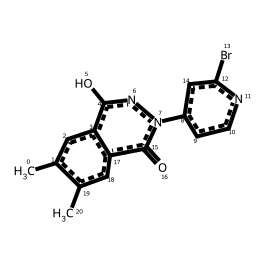 Cc1cc2c(O)nn(-c3ccnc(Br)c3)c(=O)c2cc1C